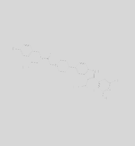 Cc1cc(-c2[nH]c3ccc(C4CCN(CC(=O)N(CCO)Cc5ccc(F)cc5)CC4)cc3c2C(C)C)cc(C)n1